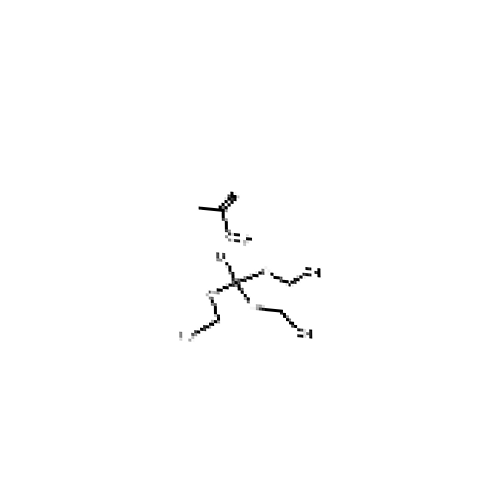 C=C(C)C(=O)O.CCC(OCO)(OCO)OCO